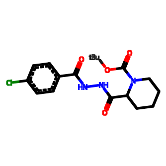 CC(C)(C)OC(=O)N1CCCCC1C(=O)NNC(=O)c1ccc(Cl)cc1